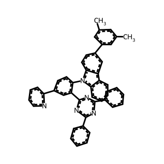 Cc1cc(C)cc(-c2ccc3c(c2)c2ccccc2n3-c2ccc(-c3ccccn3)cc2-c2nc(-c3ccccc3)nc(-c3ccccc3)n2)c1